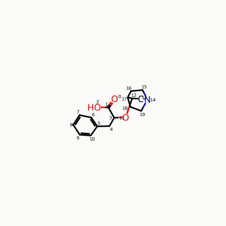 O=C(O)C(Cc1ccccc1)OC1CN2CCC1CC2